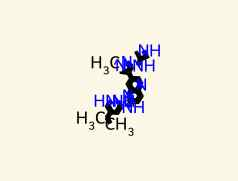 CC(C)C1=CNNC(Nc2ccc3ncc(-c4cn(C)nc4NC4CNC4)cc3n2)=C1